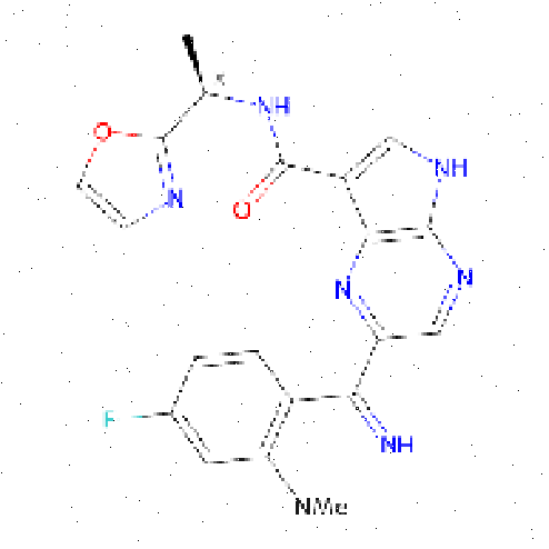 CNc1cc(F)ccc1C(=N)c1cnc2[nH]cc(C(=O)N[C@H](C)c3ncco3)c2n1